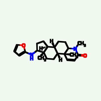 CN1C(=O)C=C[C@@]2(C)C1CC[C@@H]1[C@H]2CC[C@]2(C)C(Nc3ccco3)CC[C@@H]12